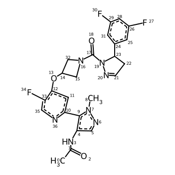 CC(=O)Nc1cnn(C)c1-c1cc(OC2CN(C(=O)N3N=CCC3c3cc(F)cc(F)c3)C2)c(F)cn1